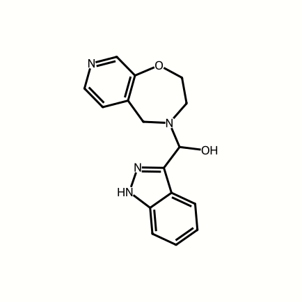 OC(c1n[nH]c2ccccc12)N1CCOc2cnccc2C1